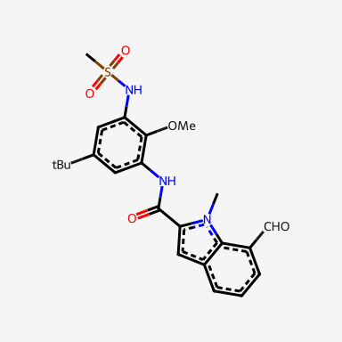 COc1c(NC(=O)c2cc3cccc(C=O)c3n2C)cc(C(C)(C)C)cc1NS(C)(=O)=O